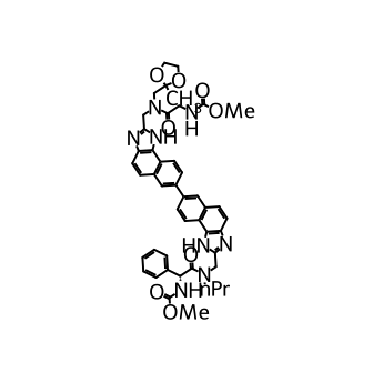 CCCN(Cc1nc2ccc3cc(-c4ccc5c(ccc6nc(CN(CC7(C)OCCO7)C(=O)CNC(=O)OC)[nH]c65)c4)ccc3c2[nH]1)C(=O)[C@H](NC(=O)OC)c1ccccc1